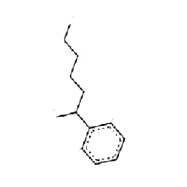 ClCCCCC(Cl)c1ccccc1